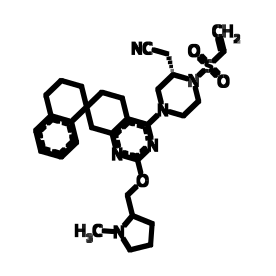 C=CS(=O)(=O)N1CCN(c2nc(OCC3CCCN3C)nc3c2CCC2(CCCc4ccccc42)C3)C[C@@H]1CC#N